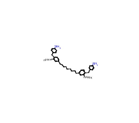 CCCCCCc1cc(CCCCCCCCCc2ccc(Cc3ccc(N)cc3)c(CCCCCC)c2)ccc1Cc1ccc(N)cc1